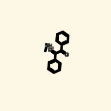 CN.O=C(C(=O)c1ccccc1)c1ccccc1